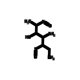 CC(N=O)C(O)C(N)C(CN)N=O